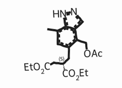 CCOC(=O)C[C@H](Cc1cc(C)c2[nH]ncc2c1COC(C)=O)C(=O)OCC